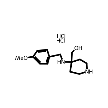 COc1ccc(CNC2(CO)CCNCC2)cc1.Cl.Cl